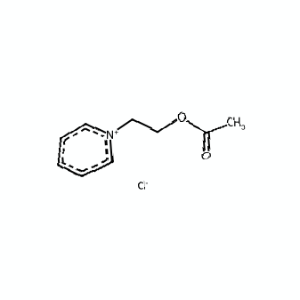 CC(=O)OCC[n+]1ccccc1.[Cl-]